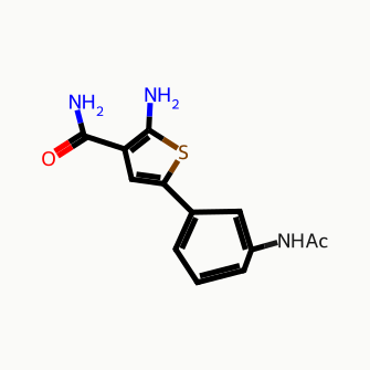 CC(=O)Nc1cccc(-c2cc(C(N)=O)c(N)s2)c1